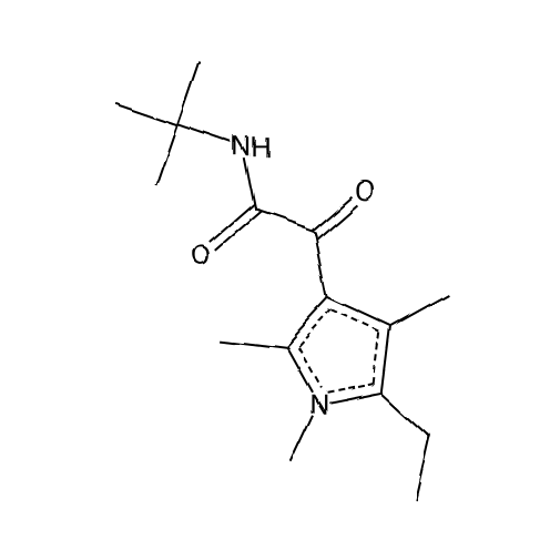 CCc1c(C)c(C(=O)C(=O)NC(C)(C)C)c(C)n1C